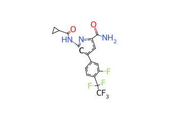 NC(=O)c1cc(-c2ccc(C(F)(F)C(F)(F)F)c(F)c2)cc(NC(=O)C2CC2)n1